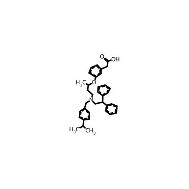 CC(CCN(Cc1ccc(C(C)C)cc1)CC(c1ccccc1)c1ccccc1)Oc1cccc(CC(=O)O)c1